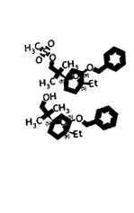 CC[C@@]12CC[C@@](C(C)(C)CO)(C[C@@H]1OCc1ccccc1)O2.CC[C@]12CC[C@](C(C)(C)COS(C)(=O)=O)(C[C@H]1OCc1ccccc1)O2